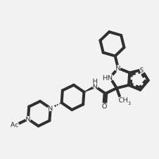 CC(=O)N1CCN([C@H]2CC[C@H](NC(=O)C3(C)NN(C4CCCCC4)c4sccc43)CC2)CC1